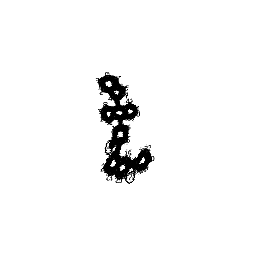 c1ccc2cc(-c3c4ccccc4c(-c4ccc5c(c4)oc4ccc6cc7oc8ccccc8c7cc6c45)c4ccccc34)ccc2c1